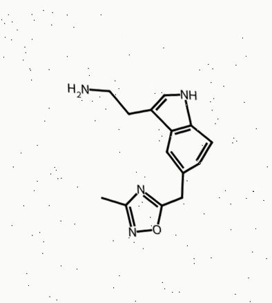 Cc1noc(Cc2ccc3[nH]cc(CCN)c3c2)n1